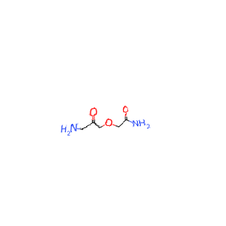 NCC(=O)COCC(N)=O